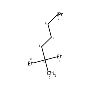 CCC(C)(CC)CCCC(C)C